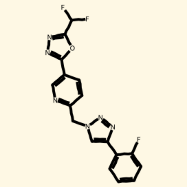 Fc1ccccc1-c1cn(Cc2ccc(-c3nnc(C(F)F)o3)cn2)nn1